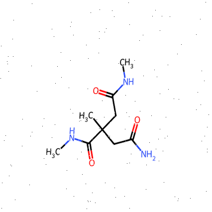 CNC(=O)CC(C)(CC(N)=O)C(=O)NC